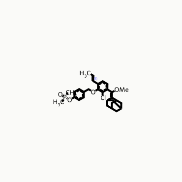 C/C=C/c1ccc(C(OC)=C2C3CC4CC(C3)CC2C4)c(Cl)c1OCc1ccc(OP(C)(C)=O)cc1